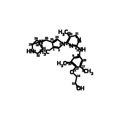 Cc1cn(-c2nc(Nc3cc(C)c(OCCO)c(C)c3)ncc2C)cc1CN1CC2CC1CN2